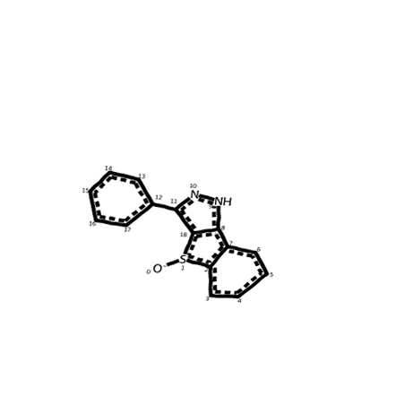 [O-][s+]1c2ccccc2c2[nH]nc(-c3ccccc3)c21